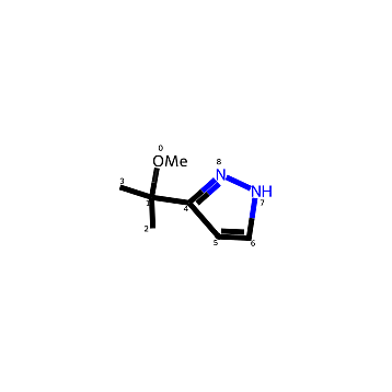 COC(C)(C)c1cc[nH]n1